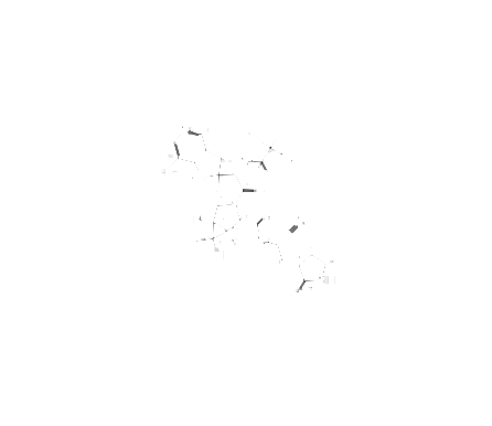 CC1([C@H](NC(=O)C(F)(F)F)C(=O)N2C[C@H]3[C@@H]([C@H]2C(=O)N[C@H](C#N)C[C@@H]2CCNC2=O)C3(Cl)Cl)CC2C=NC=C(Br)C2S1